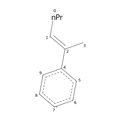 CCCC=C(C)c1cc[c]cc1